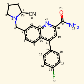 N#C[C@@H]1CCCN1Cc1ccc2c(-c3ccc(F)cc3)cc(C(N)=O)nc2c1